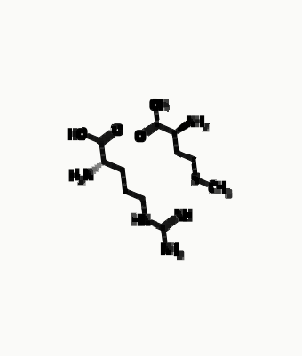 CSCC[C@H](N)C(=O)O.N=C(N)NCCC[C@H](N)C(=O)O